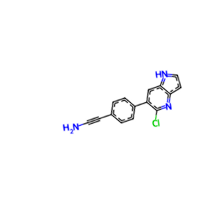 NC#Cc1ccc(-c2cc3[nH]ccc3nc2Cl)cc1